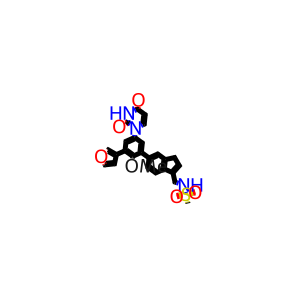 COc1c(-c2ccoc2)cc(-n2ccc(=O)[nH]c2=O)cc1-c1ccc2c(c1)CC=C2CNS(C)(=O)=O